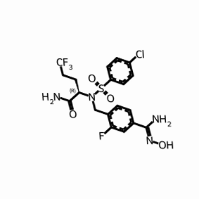 NC(=O)[C@@H](CCC(F)(F)F)N(Cc1ccc(C(N)=NO)cc1F)S(=O)(=O)c1ccc(Cl)cc1